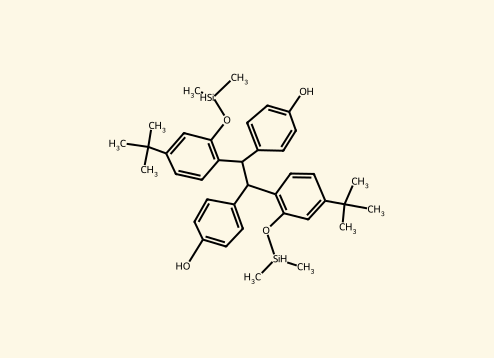 C[SiH](C)Oc1cc(C(C)(C)C)ccc1C(c1ccc(O)cc1)C(c1ccc(O)cc1)c1ccc(C(C)(C)C)cc1O[SiH](C)C